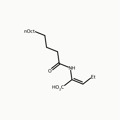 CCC=C(NC(=O)CCCCCCCCCCC)C(=O)O